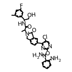 Cc1cc(F)cc(C(CO)NC(=O)C(C)N2Cc3ccc(-c4nc(ON(N)c5ccccc5N)ncc4Cl)cc3C2=O)c1